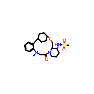 CN1CC(=O)N2CCCC(NS(C)(=O)=O)C2COC2CCC(CC2)c2ccccc21